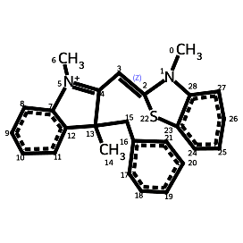 CN1/C(=C/C2=[N+](C)c3ccccc3C2(C)Cc2ccccc2)Sc2ccccc21